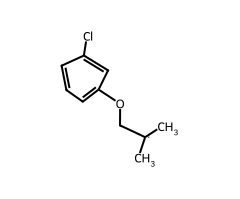 C[C](C)COc1cccc(Cl)c1